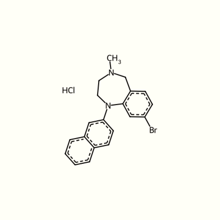 CN1CCN(c2ccc3ccccc3c2)c2cc(Br)ccc2C1.Cl